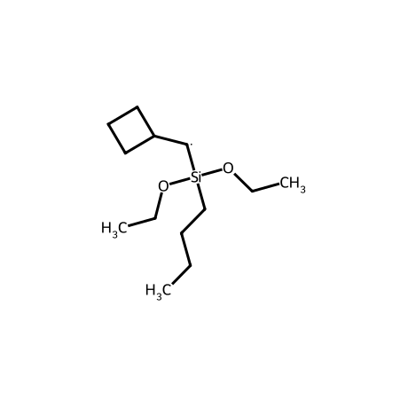 CCCC[Si]([CH]C1CCC1)(OCC)OCC